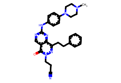 CN1CCN(c2ccc(Nc3ncc4c(=O)n(CCC#N)nc(CCc5ccccc5)c4n3)cc2)CC1